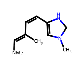 CN/C=C(C)/C=C\C1=CN(C)CN1